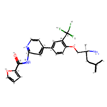 CC(C)C[C@](C)(N)COc1ccc(-c2ccnc(NC(=O)c3ccco3)c2)cc1C(F)(F)F